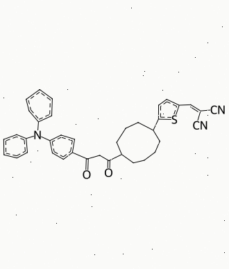 N#CC(C#N)=Cc1ccc(C2CCCCC(C(=O)CC(=O)c3ccc(N(c4ccccc4)c4ccccc4)cc3)CCC2)s1